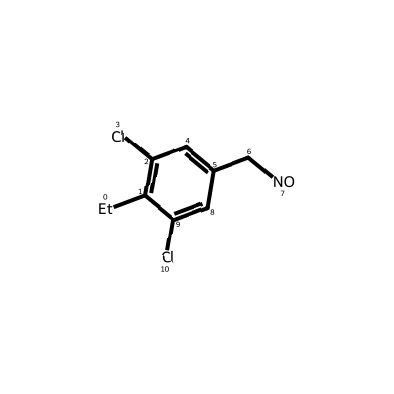 CCc1c(Cl)cc(CN=O)cc1Cl